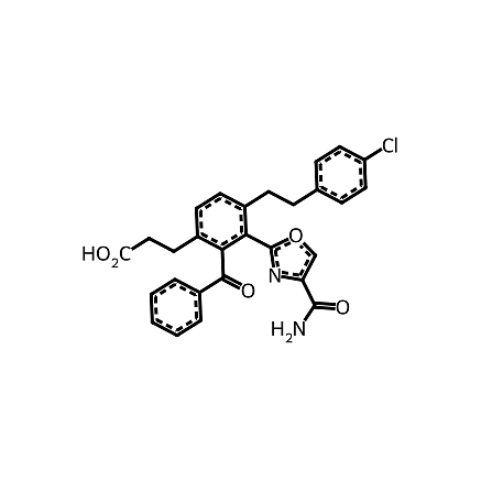 NC(=O)c1coc(-c2c(CCc3ccc(Cl)cc3)ccc(CCC(=O)O)c2C(=O)c2ccccc2)n1